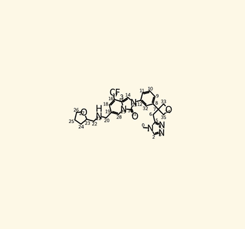 Cn1cnnc1CC1(c2cccc(-n3cc4c(C(F)(F)F)cc(CNCC5CCCO5)cn4c3=O)c2)COC1